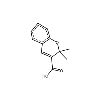 CC1(C)Oc2ccccc2C=C1C(=O)O